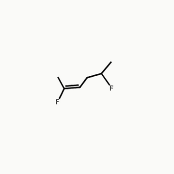 C/C(F)=C\CC(C)F